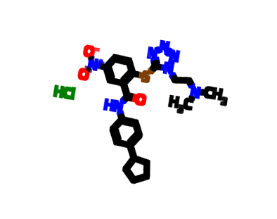 CN(C)CCn1nnnc1Sc1ccc([N+](=O)[O-])cc1C(=O)Nc1ccc(C2CCCC2)cc1.Cl